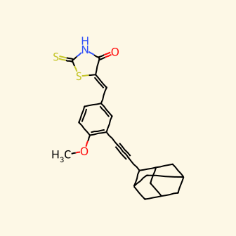 COc1ccc(/C=C2\SC(=S)NC2=O)cc1C#CC1C2CC3CC(C2)CC1C3